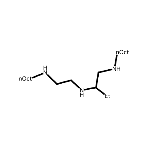 CCCCCCCCNCCNC(CC)CNCCCCCCCC